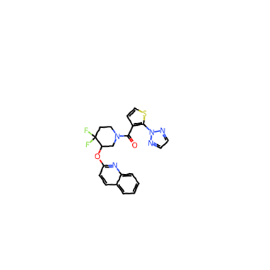 O=C(c1ccsc1-n1nccn1)N1CCC(F)(F)C(Oc2ccc3ccccc3n2)C1